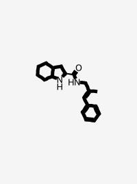 CC(=Cc1ccccc1)CNC(=O)[C@@H]1CC2CCCCC2N1